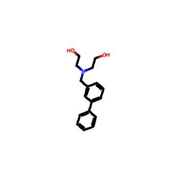 OCCN(CCO)Cc1cccc(-c2ccccc2)c1